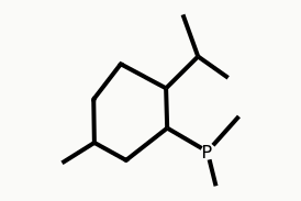 CC1CCC(C(C)C)C(P(C)C)C1